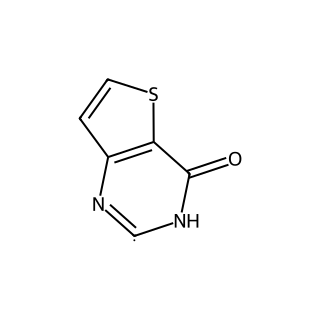 O=c1[nH][c]nc2ccsc12